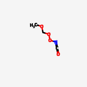 COCOON=C=O